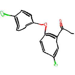 CC(=O)c1cc(Cl)ccc1Oc1ccc(Cl)cc1